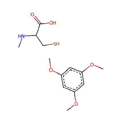 CNC(CS)C(=O)O.COc1cc(OC)cc(OC)c1